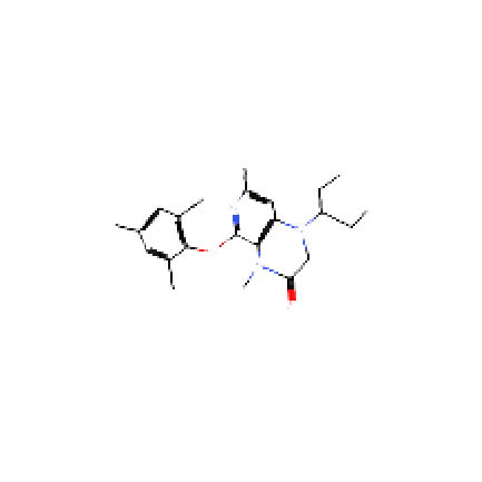 CCC(CC)N1CC(=O)N(C)c2c1cc(C)nc2Oc1c(C)cc(C)cc1C